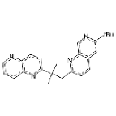 CC(C)(C)c1cc2ccc(CC(C)(C)c3ccc4ncccc4n3)nc2cn1